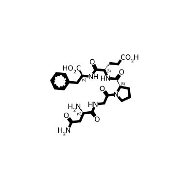 NC(=O)C[C@H](N)C(=O)NCC(=O)N1CCC[C@H]1C(=O)N[C@@H](CCC(=O)O)C(=O)N[C@@H](Cc1ccccc1)C(=O)O